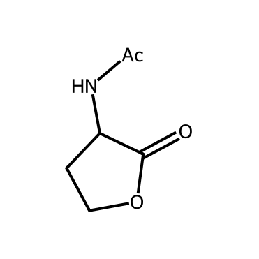 CC(=O)NC1CCOC1=O